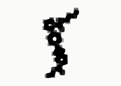 CCOC(=O)N1CCC2(CC(N3CCC([C@@H]4CCCN4C(=O)NCCOC)CC3)C2)C1